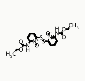 CCOC(=O)Nc1cccc(SSc2cccc(NC(=O)OCC)[n+]2[O-])[n+]1[O-]